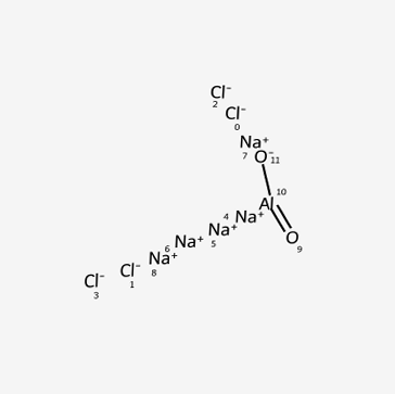 [Cl-].[Cl-].[Cl-].[Cl-].[Na+].[Na+].[Na+].[Na+].[Na+].[O]=[Al][O-]